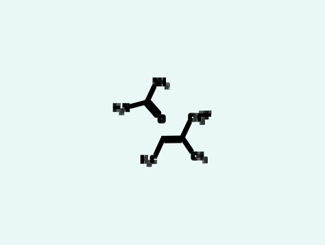 CC=C(C)C.F.NC(N)=O